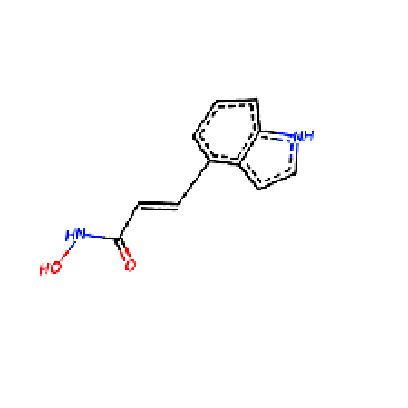 O=C(/C=C/c1cccc2[nH]ccc12)NO